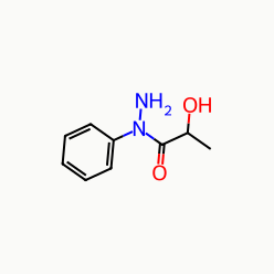 CC(O)C(=O)N(N)c1ccccc1